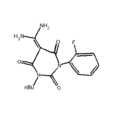 CCCCN1C(=O)C(=C(N)N)C(=O)N(c2ccccc2F)C1=O